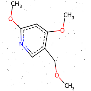 CO[CH]c1cnc(OC)cc1OC